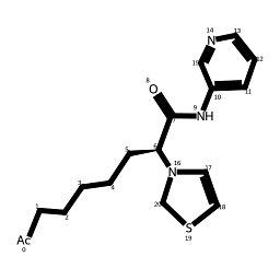 CC(=O)CCCCC[C@@H](C(=O)Nc1cccnc1)N1C=CSC1